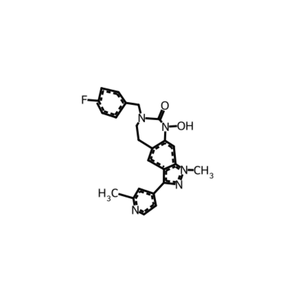 Cc1cc(-c2nn(C)c3cc4c(cc23)CCN(Cc2ccc(F)cc2)C(=O)N4O)ccn1